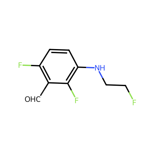 O=Cc1c(F)ccc(NCCF)c1F